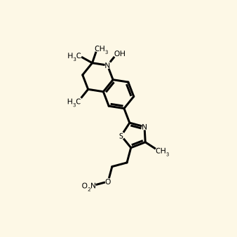 Cc1nc(-c2ccc3c(c2)C(C)CC(C)(C)N3O)sc1CCO[N+](=O)[O-]